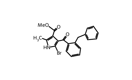 COC(=O)c1c(C)[nH]c(Br)c1C(=O)c1ccccc1Cc1ccccc1